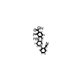 N#Cc1ccccc1N1CCC(Nc2c(F)ccc(C(=O)O)c2F)CC1